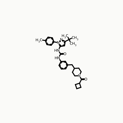 Cc1ccc(-n2nc(C(C)(C)C)cc2NC(=O)Nc2cccc(CC3CCN(C(=O)C4CCC4)CC3)c2)cc1